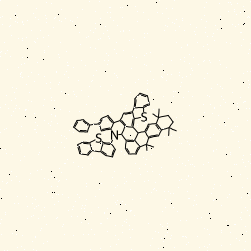 CC1(C)CCC(C)(C)c2cc3c(cc21)C1c2c(cccc2C3(C)C)C2c3c(cc4c(sc5ccccc54)c31)-c1ccc(-c3ccccc3)cc1N2c1cccc2c1sc1ccccc12